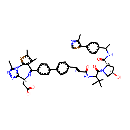 Cc1ncsc1-c1ccc(C(C)NC(=O)[C@@H]2C[C@@H](O)CN2C(=O)C(NC(=O)/C=C/c2ccc(-c3ccc(C4=N[C@@H](CC(=O)O)c5nnc(C)n5-c5sc(C)c(C)c54)cc3)cc2)C(C)(C)C)cc1